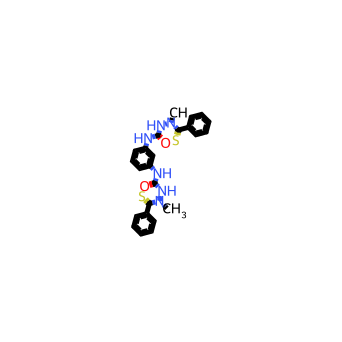 CN(NC(=O)Nc1cccc(NC(=O)NN(C)C(=S)c2ccccc2)c1)C(=S)c1ccccc1